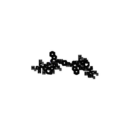 CN[C@@H](C)C(=S)N[C@H]1CCS[C@H]2CC(C)(C)[C@@H](C(=O)/N=C/C3c4ccccc4C[C@H]3C(=O)NCc3ccc(CNC(=O)[C@@H]4Cc5ccccc5[C@@H]4NC(=O)[C@H]4N5C(=O)[C@@H](NC(=S)[C@H](C)NC)CCS[C@H]5CC4(C)C)cc3)N2C1=O